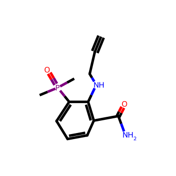 C#CCNc1c(C(N)=O)cccc1P(C)(C)=O